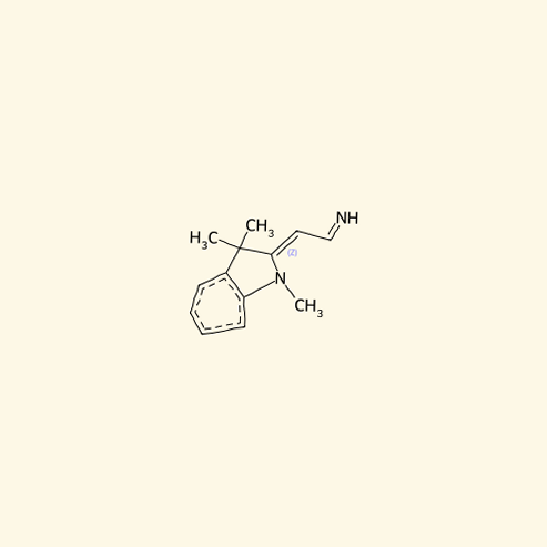 CN1/C(=C\C=N)C(C)(C)c2ccccc21